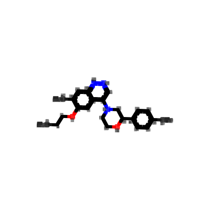 COCCOc1cc2c(N3CCOC(c4ccc(OC)cc4)C3)cnnc2cc1OC